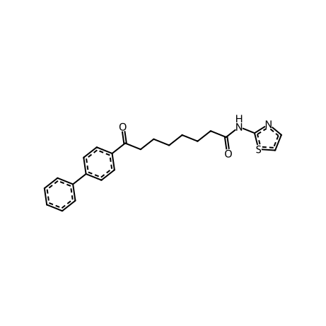 O=C(CCCCCCC(=O)c1ccc(-c2ccccc2)cc1)Nc1nccs1